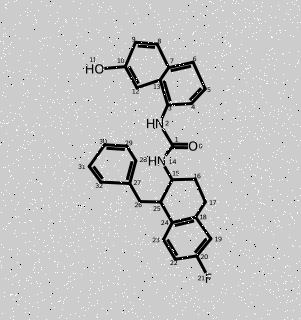 O=C(Nc1cccc2ccc(O)cc12)NC1CCc2cc(F)ccc2C1Cc1ccccc1